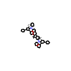 CC1(C)c2cc(N(c3ccccc3)c3c(C#N)cc(-c4ccccc4)cc3-c3ccccc3)ccc2-c2cc3ccc(N(c4ccccc4)c4c(C#N)cc(-c5ccccc5)cc4-c4ccccc4)cc3cc21